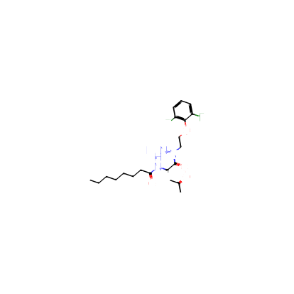 CCCCCCCC(=O)N[C@@H](CC(C)=O)C(=O)N(N)CCOc1c(F)cccc1F